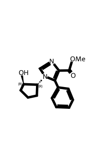 COC(=O)c1ncn([C@@H]2CCC[C@H]2O)c1-c1ccccc1